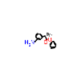 NCc1cccc(CC(=O)Oc2ccccc2)c1.[Pr]